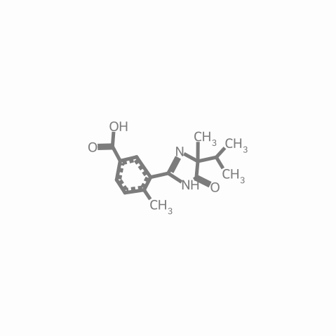 Cc1ccc(C(=O)O)cc1C1=NC(C)(C(C)C)C(=O)N1